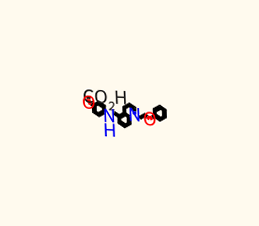 O=C(O)Oc1ccc(NCc2cccc3c2CCCN3CCOc2ccccc2)cc1